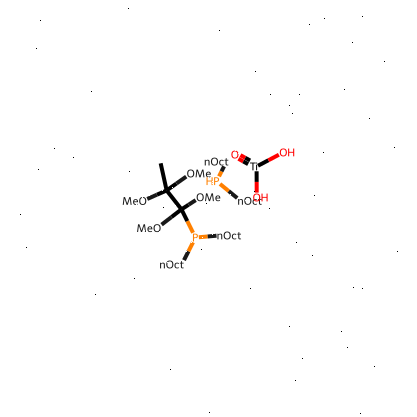 CCCCCCCCP(CCCCCCCC)C(OC)(OC)C(C)(OC)OC.CCCCCCCCPCCCCCCCC.[O]=[Ti]([OH])[OH]